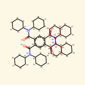 O=C(c1cc(C(=O)N(C2CCCCC2)C2CCCCC2)c(C(=O)N(C2CCCCC2)C2CCCCC2)cc1C(=O)N(C1CCCCC1)C1CCCCC1)N(C1CCCCC1)C1CCCCC1